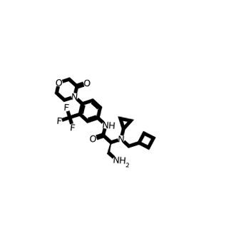 NC[C@@H](C(=O)Nc1ccc(N2CCOCC2=O)c(C(F)(F)F)c1)N(CC1CCC1)C1CC1